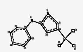 ClC(Cl)(Cl)c1csc(Sc2ccccc2)c1